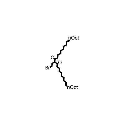 CCCCCCCCC=CCCCCCCCC(=O)C(CCBr)C(=O)CCCCCCCC=CCCCCCCCC